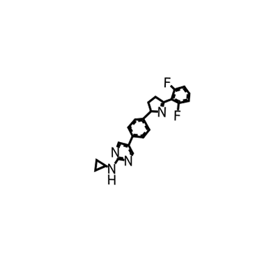 Fc1cccc(F)c1C1=NC(c2ccc(-c3cnc(NC4CC4)nc3)cc2)CC1